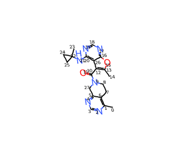 Cc1ncnc2c1CCN(C(=O)c1c(C)oc3ncnc(NC4(C)CC4)c13)C2